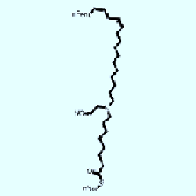 CCCCC/C=C\C/C=C\CCCCCCCCCCN(CCO)CCCCCCCC(=O)OCCCCCCCCC